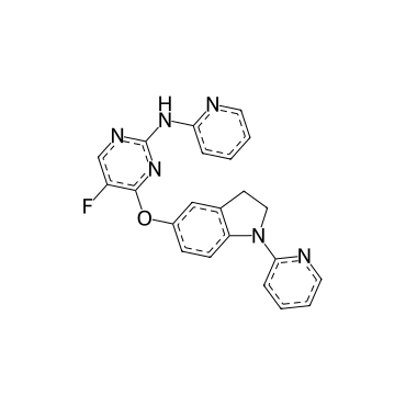 Fc1cnc(Nc2ccccn2)nc1Oc1ccc2c(c1)CCN2c1ccccn1